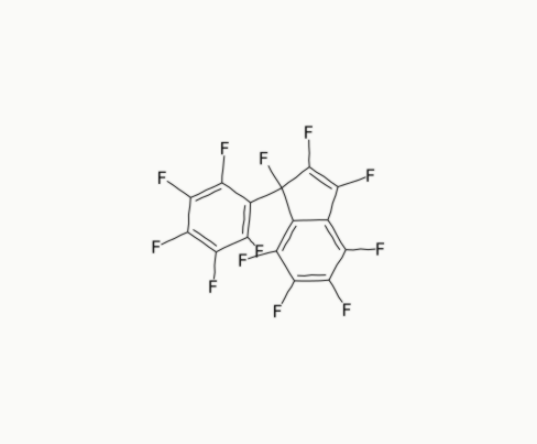 FC1=C(F)C(F)(c2c(F)c(F)c(F)c(F)c2F)c2c(F)c(F)c(F)c(F)c21